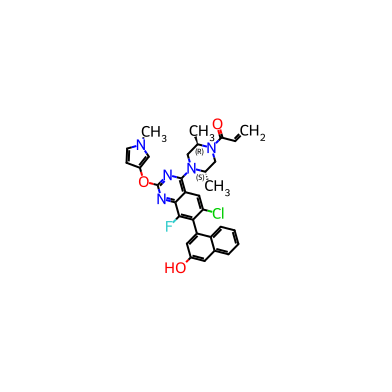 C=CC(=O)N1C[C@H](C)N(c2nc(Oc3ccn(C)c3)nc3c(F)c(-c4cc(O)cc5ccccc45)c(Cl)cc23)C[C@H]1C